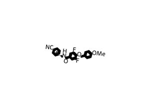 COc1ccc(COc2c(F)cc(C(=O)NC[C@]34CC[C@](C#N)(CC3)CC4)cc2F)cc1